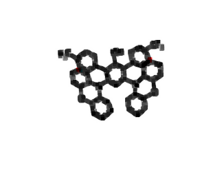 CC(C)(C)c1c(-c2ccc(C(F)(F)F)cc2)c(N2c3ccccc3Oc3ccccc32)cc(N2c3ccccc3Oc3ccccc32)c1-c1ccc(C(F)(F)F)cc1